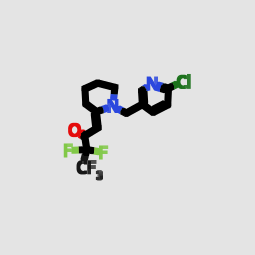 O=C(/C=C1\CCCCN1Cc1ccc(Cl)nc1)C(F)(F)C(F)(F)F